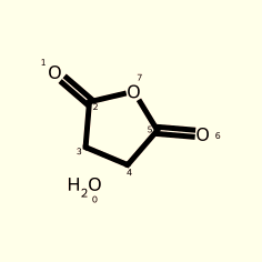 O.O=C1CCC(=O)O1